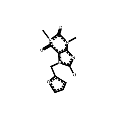 Cn1c(=O)c2c(nc(Cl)n2Cc2ccco2)n(C)c1=O